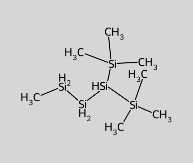 C[SiH2][SiH2][SiH]([Si](C)(C)C)[Si](C)(C)C